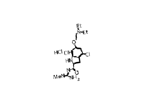 CCN(CC)CCOc1cc(Cl)c2cc(C(=O)N=C(N)NC)[nH]c2c1.Cl.Cl